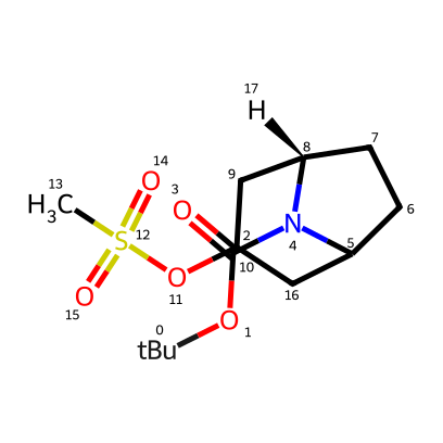 CC(C)(C)OC(=O)N1C2CC[C@H]1CC(OS(C)(=O)=O)C2